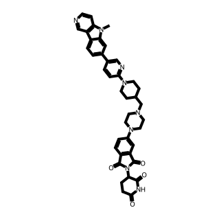 Cn1c2ccncc2c2ccc(-c3ccc(N4CCC(CN5CCN(c6ccc7c(c6)C(=O)N(C6CCC(=O)NC6=O)C7=O)CC5)CC4)nc3)cc21